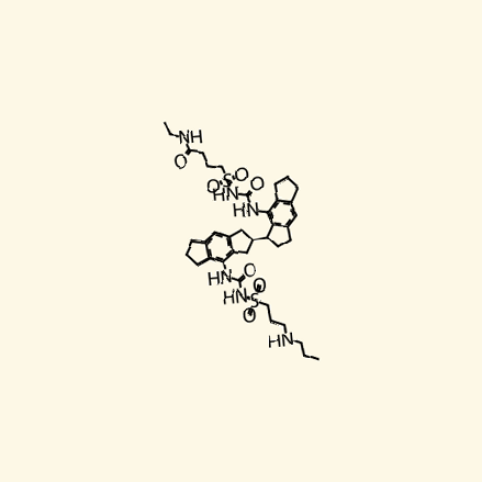 CCCNCCCS(=O)(=O)NC(=O)Nc1c2c(cc3c1CC(C1CCc4cc5c(c(NC(=O)NS(=O)(=O)CCCC(=O)NCC)c41)CCC5)C3)CCC2